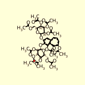 CC(=O)OC[C@H]1O[C@@H](Oc2c(OC3O[C@H](COC(C)=O)[C@@H](OC(C)=O)[C@H](OC(C)=O)[C@H]3OC(C)=O)cc3cccc(OC(C)=O)c(=O)c3c2OC(C)=O)[C@H](OC(C)=O)[C@@H](OC(C)=O)[C@@H]1OC(C)=O